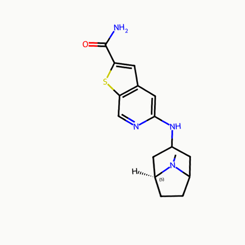 CN1C2CC[C@H]1CC(Nc1cc3cc(C(N)=O)sc3cn1)C2